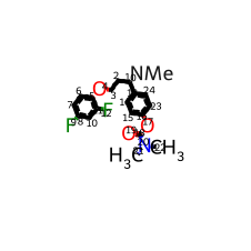 CNC(CCOc1ccc(F)cc1F)c1ccc(OC(=O)N(C)C)cc1